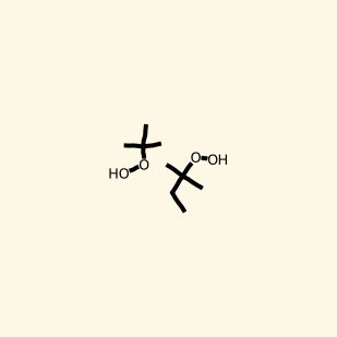 CC(C)(C)OO.CCC(C)(C)OO